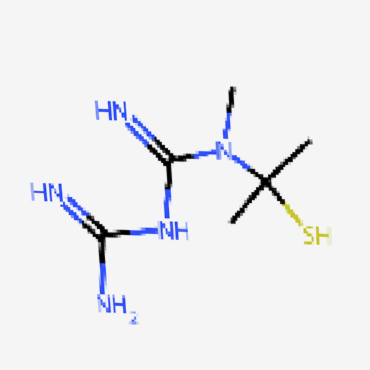 CN(C(=N)NC(=N)N)C(C)(C)S